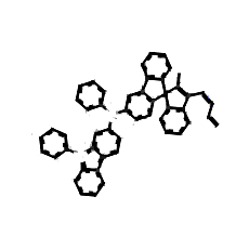 C=C/C=C\C1=C(C)C2(c3ccccc31)c1ccccc1-c1cc(N(c3ccccc3)c3ccc4c5ccccc5n(-c5ccccc5)c4c3)ccc12